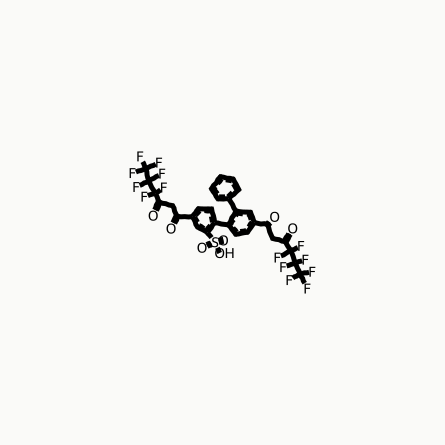 O=C(CC(=O)C(F)(F)C(F)(F)C(F)(F)F)c1ccc(-c2ccc(C(=O)CC(=O)C(F)(F)C(F)(F)C(F)(F)F)cc2S(=O)(=O)O)c(-c2ccccc2)c1